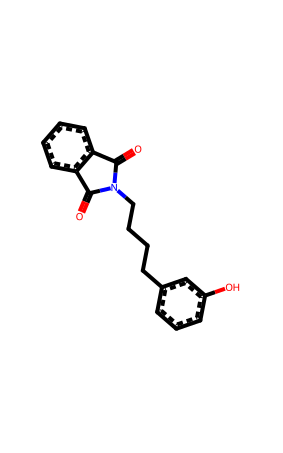 O=C1c2ccccc2C(=O)N1CCCCc1cccc(O)c1